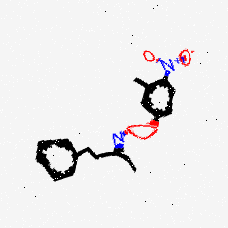 CC(CCc1ccccc1)=NOc1ccc([N+](=O)[O-])c(C)c1